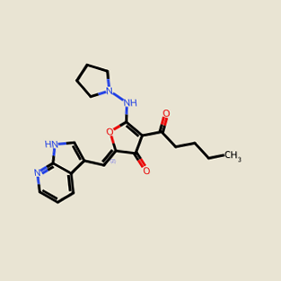 CCCCC(=O)C1=C(NN2CCCC2)O/C(=C\c2c[nH]c3ncccc23)C1=O